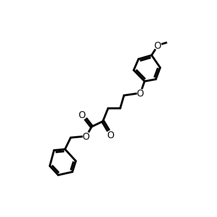 COc1ccc(OCCCC(=O)C(=O)OCc2ccccc2)cc1